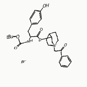 CC(C)(C)OC(=O)NC(Cc1ccc(O)cc1)C(=O)OC1C[N+]2(CC(=O)c3ccccc3)CCC1CC2.[Br-]